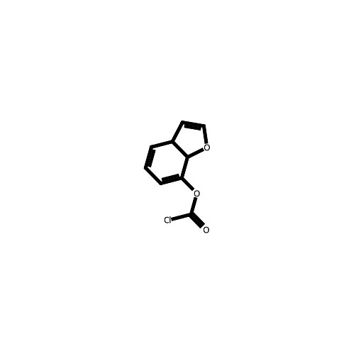 O=C(Cl)OC1=CC=CC2C=COC12